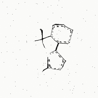 CC(C)(O)c1ccccc1-c1ccc(Br)o1